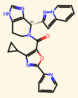 O=C(c1oc(-c2ccccn2)nc1C1CC1)N1CCc2[nH]cnc2[C@@H]1c1cc2ccccn2n1